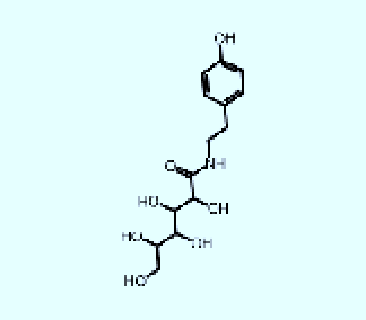 O=C(NCCc1ccc(O)cc1)C(O)C(O)C(O)C(O)CO